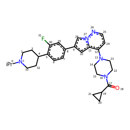 CC(C)N1CCC(c2ccc(-c3cc4c(N5CCN(C(=O)C6CC6)CC5)ccnn4c3)cc2F)CC1